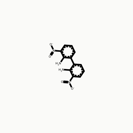 Nc1c(-c2cccc([N+](=O)[O-])c2N)cccc1[N+](=O)[O-]